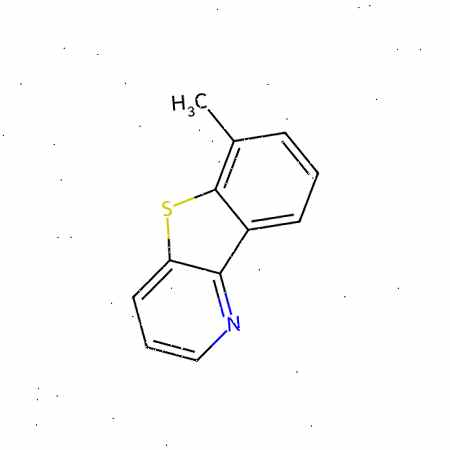 Cc1cccc2c1sc1cccnc12